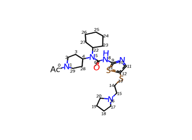 CC(=O)N1CCC(N(C(=O)Nc2ncc(SCCN3CCCC3)s2)C2CCCCC2)CC1